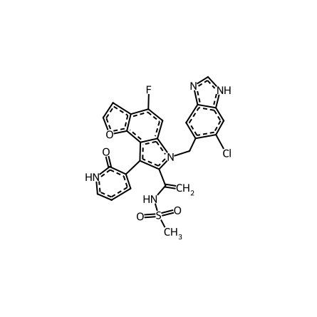 C=C(NS(C)(=O)=O)c1c(-c2ccc[nH]c2=O)c2c3occc3c(F)cc2n1Cc1cc2nc[nH]c2cc1Cl